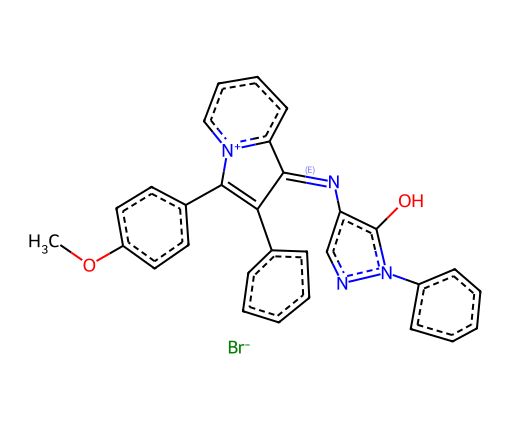 COc1ccc(C2=C(c3ccccc3)/C(=N\c3cnn(-c4ccccc4)c3O)c3cccc[n+]32)cc1.[Br-]